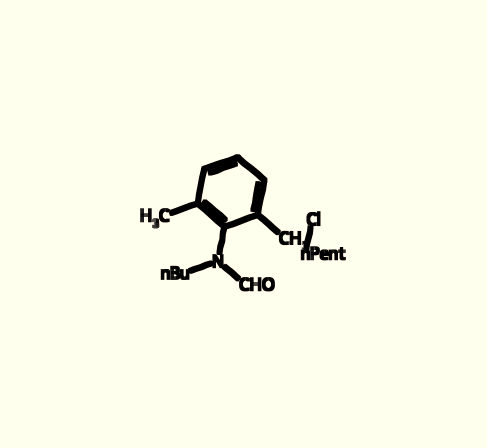 CCCCCCl.CCCCN(C=O)c1c(C)cccc1C